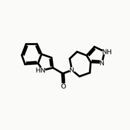 O=C(c1cc2ccccc2[nH]1)N1CCc2c[nH]nc2CC1